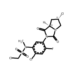 CN(c1cc(N2C(=O)[C@H]3C[C@H](Cl)CN3C2=O)c(F)cc1Cl)S(=O)(=O)CCl